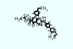 CCc1ccc(-n2cc(C(=O)NOC(C)C)c(=O)c3cnc(Nc4ccc(C5CCN(SC)CC5)cc4)nc32)cc1